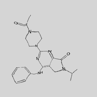 CC(=O)N1CCN(c2nc(Nc3ccccc3)c3c(n2)C(=O)N(C(C)C)C3)CC1